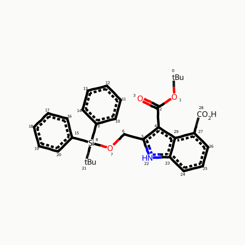 CC(C)(C)OC(=O)c1c(CO[Si](c2ccccc2)(c2ccccc2)C(C)(C)C)[nH]c2cccc(C(=O)O)c12